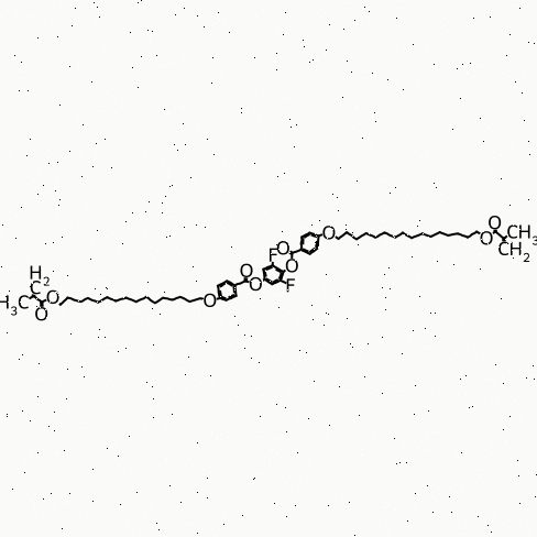 C=C(C)C(=O)OCCCCCCCCCCCCCCCCOc1ccc(C(=O)Oc2cc(F)c(OC(=O)c3ccc(OCCCCCCCCCCCCCCCCOC(=O)C(=C)C)cc3)c(F)c2)cc1